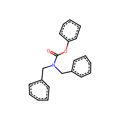 O=C(Oc1ccccc1)N(Cc1ccccc1)Cc1ccccc1